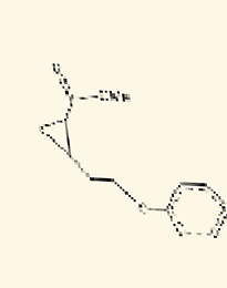 COC(=O)C1CC1CCOc1ccccc1